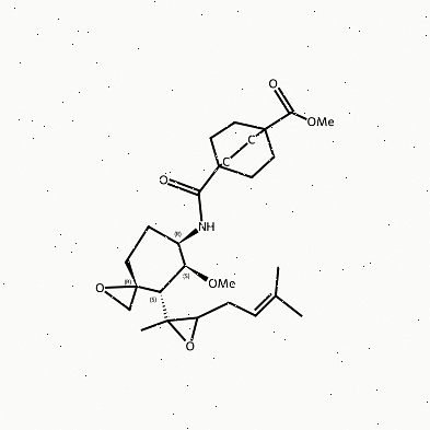 COC(=O)C12CCC(C(=O)N[C@@H]3CC[C@]4(CO4)[C@@H](C4(C)OC4CC=C(C)C)[C@@H]3OC)(CC1)CC2